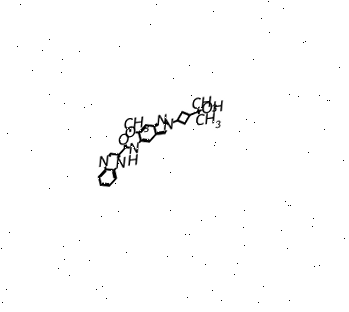 COc1cc2nn(C3CC(C(C)(C)O)C3)cc2cc1NC(=O)c1cnc2ccccc2n1